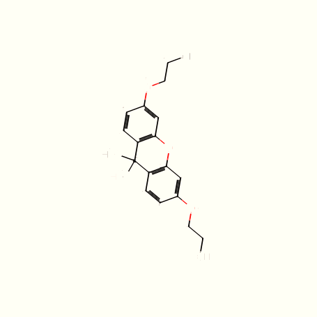 CCCOc1ccc2c(c1)Oc1cc(OCCC)ccc1C2(C)C